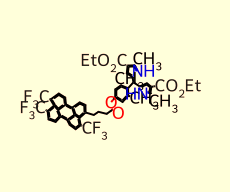 CCOC(=O)c1cc(C(c2cc(C(=O)OCC)c(C)[nH]2)c2c(C)cc(OC(=O)CCCc3ccc4c5ccc(C(F)(F)F)c6c(C(F)(F)F)ccc(c7ccc(C(F)(F)F)c3c47)c65)cc2C)[nH]c1C